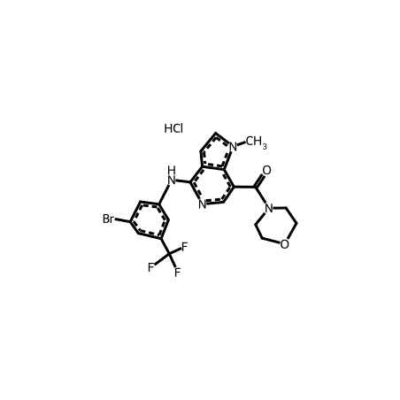 Cl.Cn1ccc2c(Nc3cc(Br)cc(C(F)(F)F)c3)ncc(C(=O)N3CCOCC3)c21